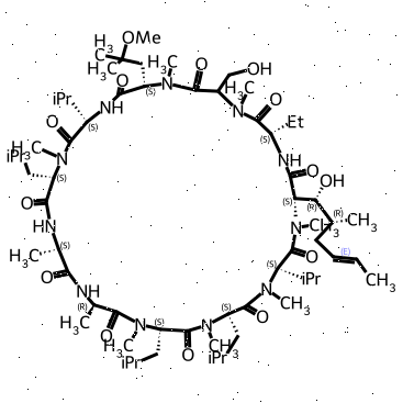 C/C=C/C[C@@H](C)[C@@H](O)[C@H]1C(=O)N[C@@H](CC)C(=O)N(C)C(CO)C(=O)N(C)[C@@H](CC(C)(C)OC)C(=O)N[C@@H](C(C)C)C(=O)N(C)[C@@H](CC(C)C)C(=O)N[C@@H](C)C(=O)N[C@H](C)C(=O)N(C)[C@@H](CC(C)C)C(=O)N(C)[C@@H](CC(C)C)C(=O)N(C)[C@@H](C(C)C)C(=O)N1C